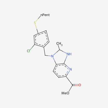 CCCCCSc1ccc(CN2c3ccc(C(=O)OC)nc3NC2C)c(Cl)c1